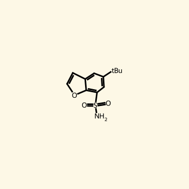 CC(C)(C)c1cc(S(N)(=O)=O)c2occc2c1